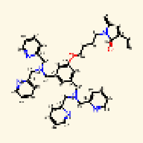 C=CC1=CC(=C)N(CCCCOc2cc(CN(Cc3ccccn3)Cc3ccccn3)cc(CN(Cc3ccccn3)Cc3ccccn3)c2)C1=O